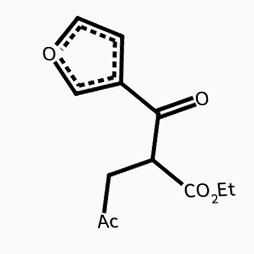 CCOC(=O)C(CC(C)=O)C(=O)c1ccoc1